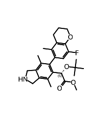 COC(=O)[C@@H](OC(C)(C)C)c1c(C)c2c(c(C)c1-c1cc(F)c3c(c1C)CCCO3)CNC2